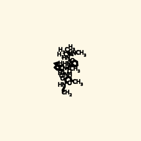 C=CCNC(=O)C(=O)C(CCC)NC(=O)[C@@H]1[C@H]2CCC3(CC3)[C@H]2CN1C(=O)[C@@H](NC(=O)N[C@H](CNC)C(C)(C)C)C1(C)CCCCC1